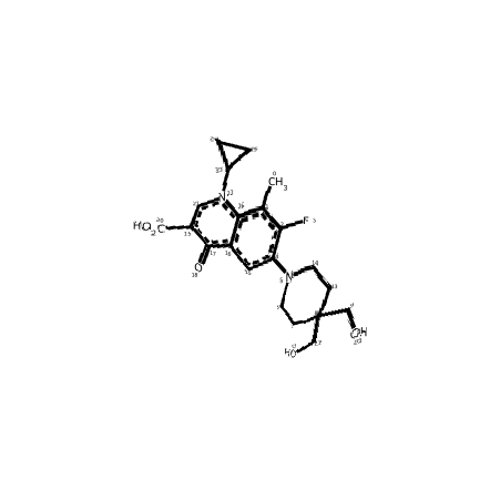 Cc1c(F)c(N2CCC(CO)(CO)CC2)cc2c(=O)c(C(=O)O)cn(C3CC3)c12